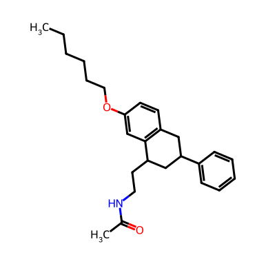 CCCCCCOc1ccc2c(c1)C(CCNC(C)=O)CC(c1ccccc1)C2